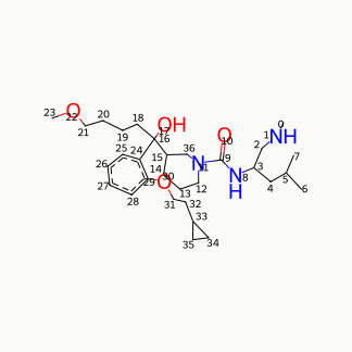 CNCC(CC(C)C)NC(=O)N1CCCC(C(O)(CCCCOC)c2ccccc2OCCC2CC2)C1